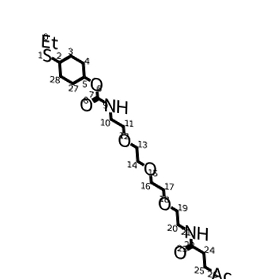 CCSC1CCC(OC(=O)NCCOCCOCCOCCNC(=O)CCC(C)=O)CC1